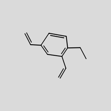 C=Cc1ccc(CC)c(C=C)c1